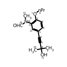 CCCOc1ccc(C#CC(C)(C)O)cc1N(C)C=O